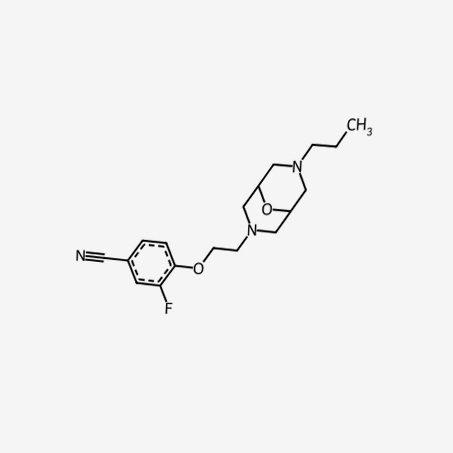 CCCN1CC2CN(CCOc3ccc(C#N)cc3F)CC(C1)O2